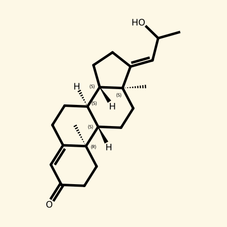 CC(O)C=C1CC[C@H]2[C@@H]3CCC4=CC(=O)CC[C@]4(C)[C@H]3CC[C@]12C